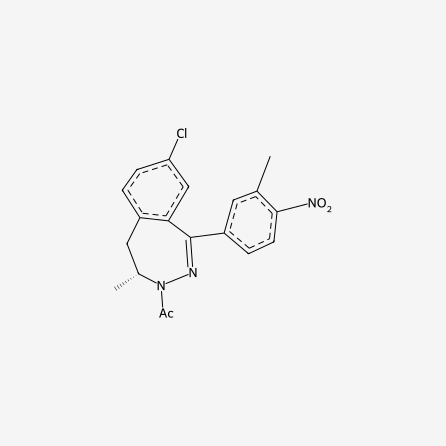 CC(=O)N1N=C(c2ccc([N+](=O)[O-])c(C)c2)c2cc(Cl)ccc2C[C@H]1C